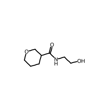 O=C(NCCO)C1CCCOC1